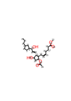 CCCC1CCC([C@H](O)/C=C/[C@@H]2[C@@H](C/C=C\CCCC(=O)OC)[C@@H](OC(C)=O)C[C@H]2O)C1